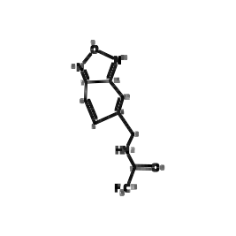 O=C(NCc1ccc2nonc2c1)C(F)(F)F